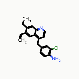 C=Cc1cc2c(Cc3ccc(N)c(Cl)c3)ccnc2cc1CC